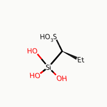 CC[C@@H]([Si](O)(O)O)S(=O)(=O)O